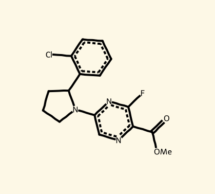 COC(=O)c1ncc(N2CCCC2c2ccccc2Cl)nc1F